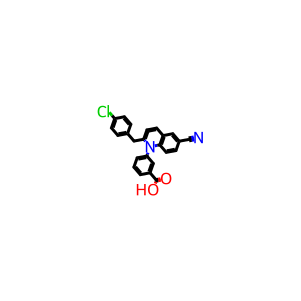 N#Cc1ccc2c(c1)C=C=C(Cc1ccc(Cl)cc1)N2c1cccc(C(=O)O)c1